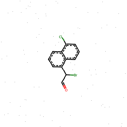 O=CC(Br)c1cccc2c(Cl)cccc12